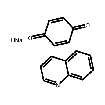 O=C1C=CC(=O)C=C1.[NaH].c1ccc2ncccc2c1